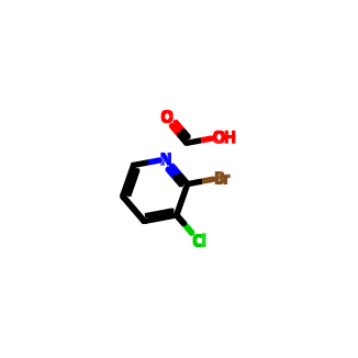 Clc1cccnc1Br.O=CO